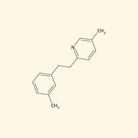 Cc1ccc(CCc2cccc(C)c2)nc1